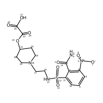 NC(=O)c1c([N+](=O)[O-])cccc1S(=O)(=O)NCCN1CCC(OC(=O)C(=O)O)CC1